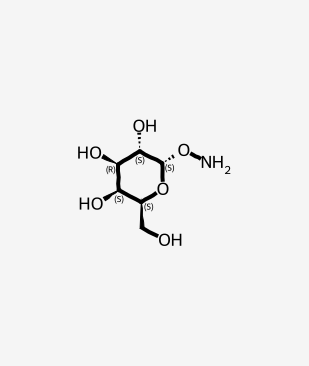 NO[C@@H]1O[C@@H](CO)[C@@H](O)[C@@H](O)[C@@H]1O